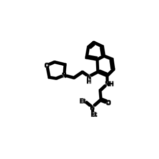 CCN(CC)C(=O)CNc1ccc2ccccc2c1NCCN1CCOCC1